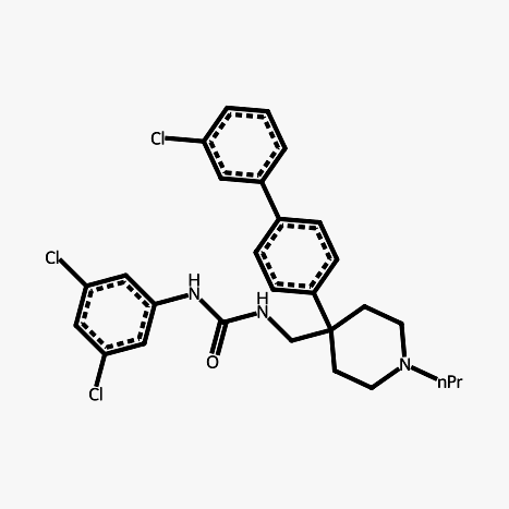 CCCN1CCC(CNC(=O)Nc2cc(Cl)cc(Cl)c2)(c2ccc(-c3cccc(Cl)c3)cc2)CC1